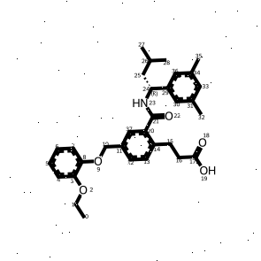 CCOc1ccccc1OCc1ccc(CCC(=O)O)c(C(=O)N[C@H](CC(C)C)c2cc(C)cc(C)c2)c1